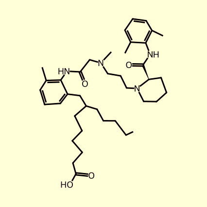 CCCCCC(CCCCCC(=O)O)Cc1cccc(C)c1NC(=O)CN(C)CCCN1CCCC[C@@H]1C(=O)Nc1c(C)cccc1C